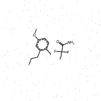 CCCc1cc(OC)ccc1I.NC(=O)C(F)(F)F